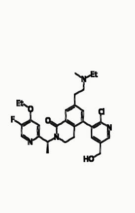 CCOc1cc([C@H](C)N2CCc3c(cc(CCN(C)CC)cc3-c3cc(CO)cnc3Cl)C2=O)ncc1F